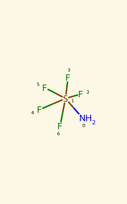 NS(F)(F)(F)(F)F